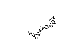 O=C(Cn1cccc(C(F)(F)F)c1=O)N1CCC(c2nc(C3=NOC(c4cc(C(F)(F)F)ccc4Cl)C3)cs2)CC1